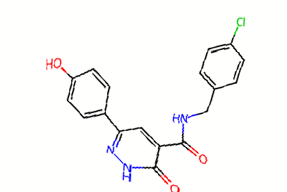 O=C(NCc1ccc(Cl)cc1)c1cc(-c2ccc(O)cc2)n[nH]c1=O